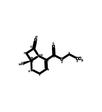 O=C(OCC(Cl)(Cl)Cl)C1=CCS[C@@H]2CC(=O)N12